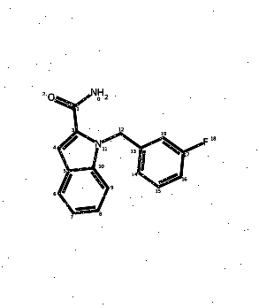 NC(=O)c1cc2ccccc2n1Cc1cccc(F)c1